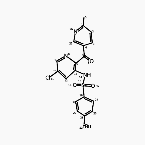 Cc1ccc(C(=O)c2ncc(Cl)cc2NS(=O)(=O)c2ccc(C(C)(C)C)cc2)cn1